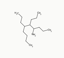 CCCCC(CCC)C(CCC)C(N)CCC